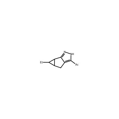 CCC1C2Cc3c(n[nH]c3C(C)=O)C12